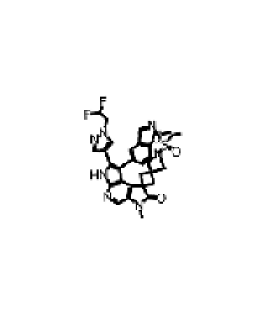 CCS(=O)(=O)N1CC2(C1)CC1(C2)C(=O)N(C)c2cnc3[nH]c(-c4cnn(CC(F)F)c4)c(-c4ccc5c(cnn5C)c4)c3c21